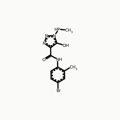 CPn1nnc(C(=O)Nc2ccc(Br)cc2C)c1O